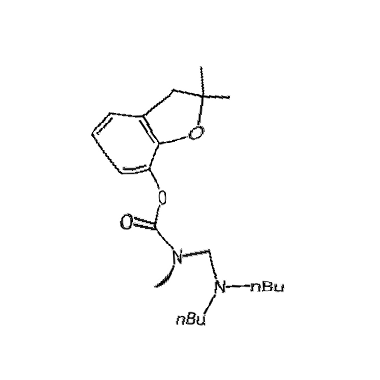 CCCCN(CCCC)CN(C)C(=O)Oc1cccc2c1OC(C)(C)C2